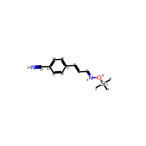 C[Si](C)(C)O/N=C/C=C/c1ccc(C#N)cc1